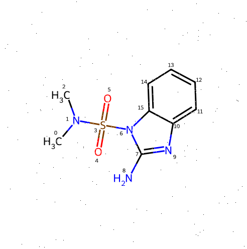 CN(C)S(=O)(=O)n1c(N)nc2ccccc21